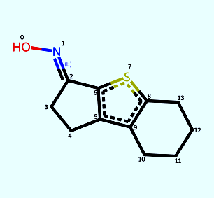 O/N=C1\CCc2c1sc1c2CCCC1